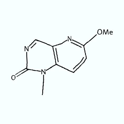 COc1ccc2c(cnc(=O)n2C)n1